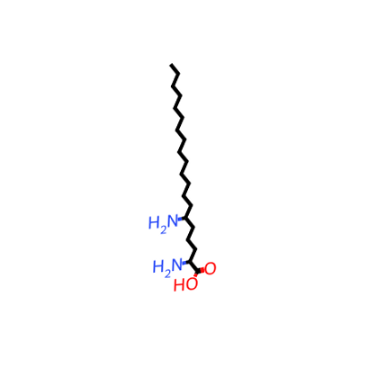 CCCCCCCCCCCCCCC(N)CCCC(N)C(=O)O